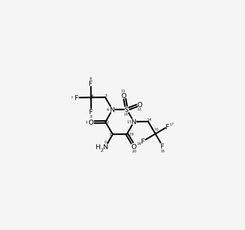 NC1C(=O)N(CC(F)(F)F)S(=O)(=O)N(CC(F)(F)F)C1=O